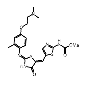 COC(=O)Nc1ncc(/C=C2\S/C(=N\c3ccc(OCCN(C)C)cc3C)NC2=O)s1